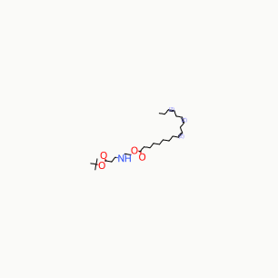 CC/C=C\C/C=C\C/C=C\CCCCCCCC(=O)OCCNCCC(=O)OC(C)(C)C